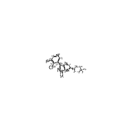 CC1(C)CCN(c2cnc3c(-c4cncc(F)c4Cl)n[nH]c3n2)CC1